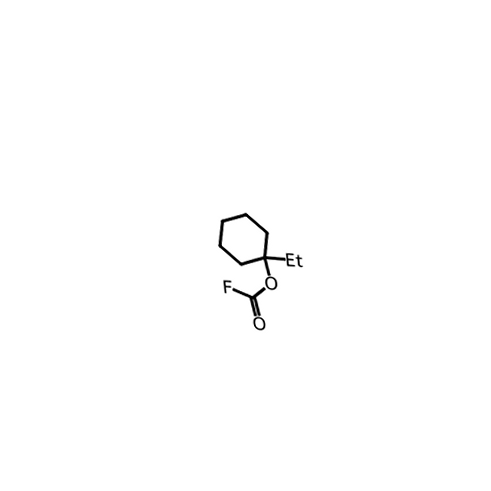 CCC1(OC(=O)F)CCCCC1